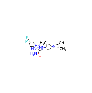 CC1C[C@@H](N2CC(C)[C@H](C)C2)CCC1N/C=C(\C(=N)Nc1ccc(C(F)(F)F)cc1)C(N)=O